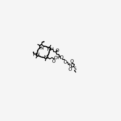 C=CC1=C(C)c2cc3[nH]c(cc4nc(cc5[nH]c(cc1n2)c(C)c5CCC(=O)CCCOCCOCCN1C(=O)CC(SCC)C1=O)C(CCC(=O)O)=C4C)c(C)c3C=C